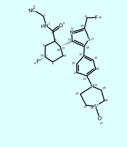 N#CCNC(=O)C1C[C@@H](F)CC[C@H]1c1nc(CF)sc1-c1ccc(N2CC[S+]([O-])CC2)cc1